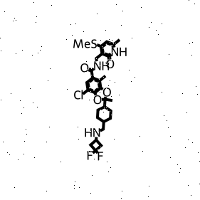 CSc1cc(C)[nH]c(=O)c1CNC(=O)c1cc(Cl)c2c(c1C)OC(C)(C1CCC(CNC3CC(F)(F)C3)CC1)O2